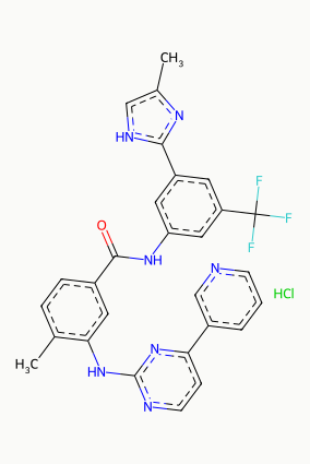 Cc1c[nH]c(-c2cc(NC(=O)c3ccc(C)c(Nc4nccc(-c5cccnc5)n4)c3)cc(C(F)(F)F)c2)n1.Cl